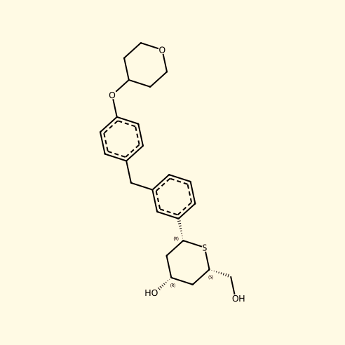 OC[C@@H]1C[C@H](O)C[C@H](c2cccc(Cc3ccc(OC4CCOCC4)cc3)c2)S1